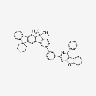 CC1(C)c2ccc(-c3cccc(-c4nc(-c5ccccc5)c5c(n4)oc4ccccc45)c3)cc2-c2cc3c(cc21)-c1ccccc1C31CCCCC1